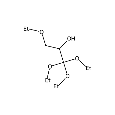 CCOCC(O)C(OCC)(OCC)OCC